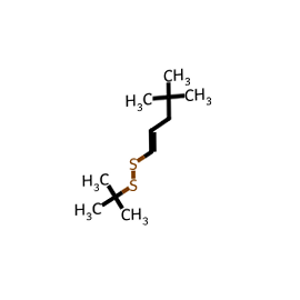 CC(C)(C)CC=CSSC(C)(C)C